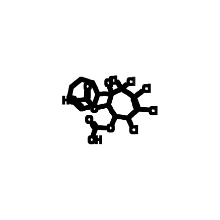 O=C(O)OC1C(Cl)C(Cl)=C(Cl)C(Cl)(Cl)C(Cl)(C2CC=CCCC2)C1OC(=O)O